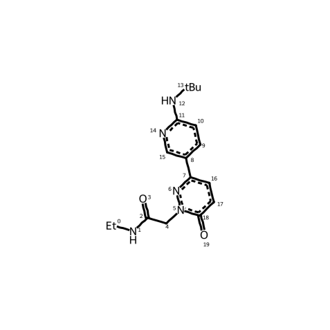 CCNC(=O)Cn1nc(-c2ccc(NC(C)(C)C)nc2)ccc1=O